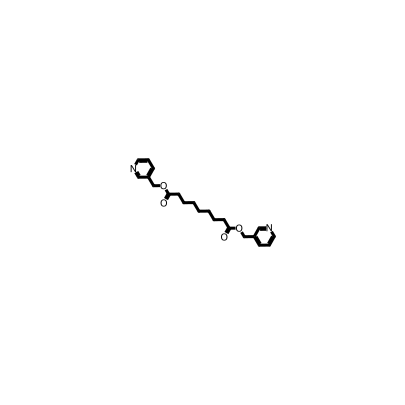 O=C(CCCCCCCC(=O)OCc1cccnc1)OCc1cccnc1